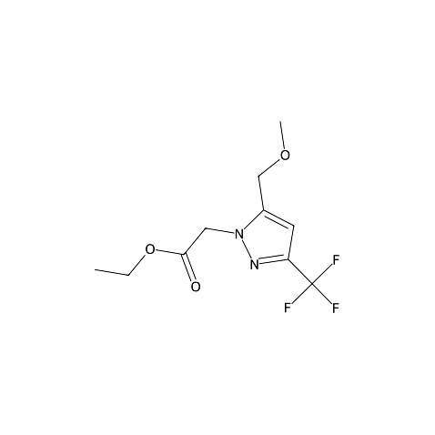 CCOC(=O)Cn1nc(C(F)(F)F)cc1COC